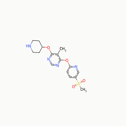 Cc1c(Oc2ccc(S(C)(=O)=O)cn2)ncnc1OC1CCNCC1